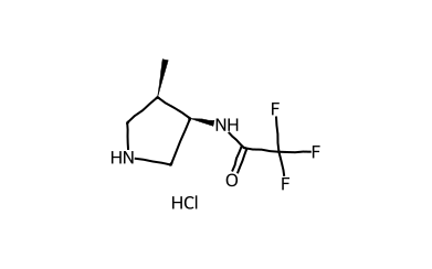 C[C@@H]1CNC[C@@H]1NC(=O)C(F)(F)F.Cl